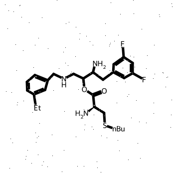 CCCCSC[C@@H](N)C(=O)OC(CNCc1cccc(CC)c1)C(N)Cc1cc(F)cc(F)c1